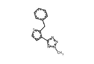 Cn1nnc(-c2ccsc2Cc2ccccc2)n1